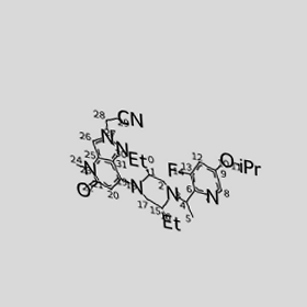 CC[C@H]1CN(C(C)c2ncc(OC(C)C)cc2F)[C@H](CC)CN1c1cc(=O)n(C)c2cn(CC#N)nc12